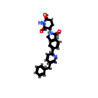 O=C1CCC(N2Cc3cc(-c4ccc(Cc5ccccc5)cn4)ccc3C2=O)C(=O)N1